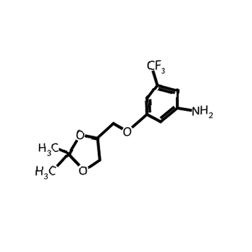 CC1(C)OCC(COc2cc(N)cc(C(F)(F)F)c2)O1